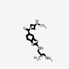 CNC1CN(C(=O)c2ccc3nc(NC[C@@H](C)CN)sc3c2)C1